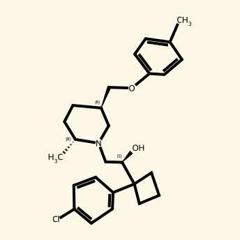 Cc1ccc(OC[C@@H]2CC[C@@H](C)N(C[C@@H](O)C3(c4ccc(Cl)cc4)CCC3)C2)cc1